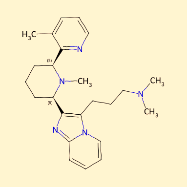 Cc1cccnc1[C@@H]1CCC[C@H](c2nc3ccccn3c2CCCN(C)C)N1C